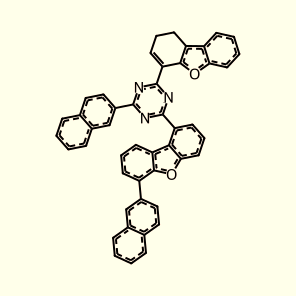 C1=C(c2nc(-c3ccc4ccccc4c3)nc(-c3cccc4oc5c(-c6ccc7ccccc7c6)cccc5c34)n2)c2oc3ccccc3c2CC1